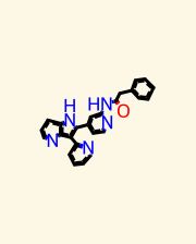 O=C(Cc1ccccc1)Nc1cc(-c2[nH]c3cccnc3c2-c2ccccn2)ccn1